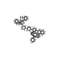 C1=C(c2cccc(-c3ccc(-c4ccc5c(c4)C4(c6cc7ccccc7cc6-5)c5ccccc5N(c5ccccc5)c5ccccc54)cc3)c2)NC(c2ccccc2)NC1c1ccccc1